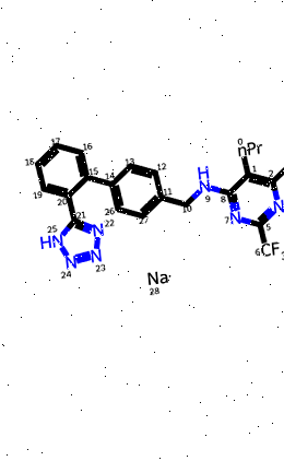 CCCc1c(C)nc(C(F)(F)F)nc1NCc1ccc(-c2ccccc2-c2nnn[nH]2)cc1.[Na]